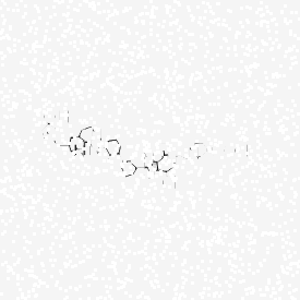 Cc1c(Nc2nccc3cc(CN4CC[C@@H](O)C4)cnc23)cccc1-c1cccc(-c2nc3c(=O)n(CCN4CC[C@@H](C(=O)O)C4)cc(Cl)c3o2)c1C